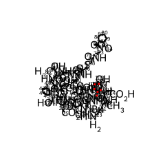 CC[C@H](C)[C@H](NC(=O)[C@H](CO)NC(=O)[C@H](Cc1ccc(O)cc1)NC(=O)[C@H](CC(=O)O)NC(=O)[C@H](CCO)NC(=O)[C@@H](NC(=O)[C@H](Cc1ccccc1)NC(=O)[C@@H](NC(=O)CNC(=O)[C@H](CCC(=O)O)NC(=O)CSCC(=O)NCCN1C(=O)C2=C(CCCC2)C1=O)[C@@H](C)O)[C@@H](C)O)C(=O)N[C@@H](Cc1ccc(O)cc1)C(=O)N[C@@H](CC(C)C)C(=O)N[C@@H](CC(=O)O)C(=O)N[C@H](C)CCCCN